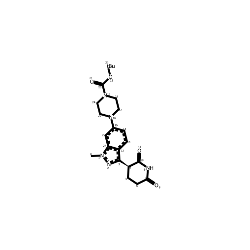 Cn1nc([C@@H]2CCC(=O)NC2=O)c2ccc(N3CCN(C(=O)OC(C)(C)C)CC3)cc21